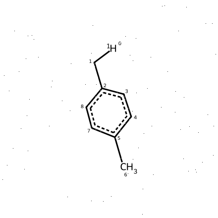 [1H]Cc1ccc(C)cc1